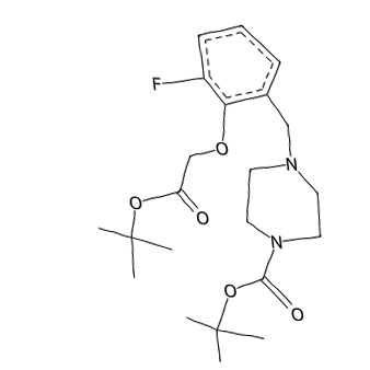 CC(C)(C)OC(=O)COc1c(F)cccc1CN1CCN(C(=O)OC(C)(C)C)CC1